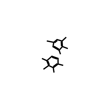 Cc1cc(C)c(C)c(C)c1.Cc1ccc(C)c(C)c1C